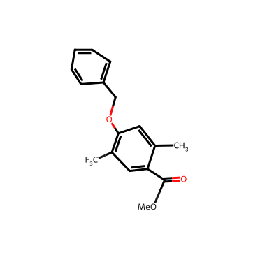 COC(=O)c1cc(C(F)(F)F)c(OCc2ccccc2)cc1C